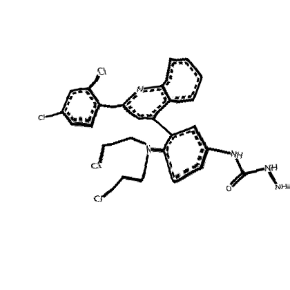 NNC(=O)Nc1ccc(N(CCCl)CCCl)c(-c2cc(-c3ccc(Cl)cc3Cl)nc3ccccc23)c1